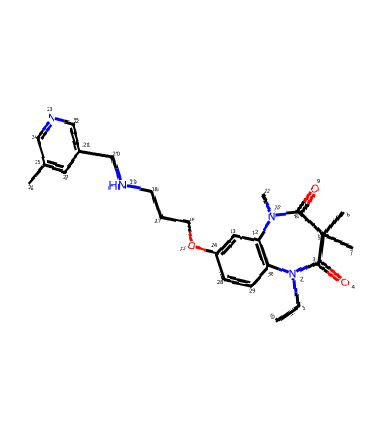 CCN1C(=O)C(C)(C)C(=O)N(C)c2cc(OCCCNCc3cncc(C)c3)ccc21